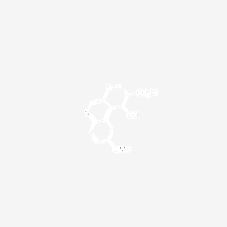 CCOC(=O)C1CSc2cnc3ccc(OC)cc3c2C1O